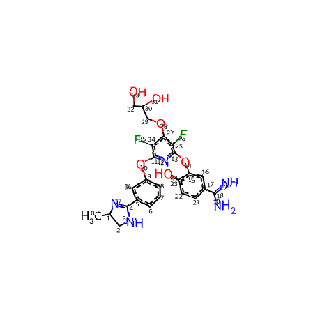 CC1CNC(c2cccc(Oc3nc(Oc4cc(C(=N)N)ccc4O)c(F)c(OCC(O)CO)c3F)c2)=N1